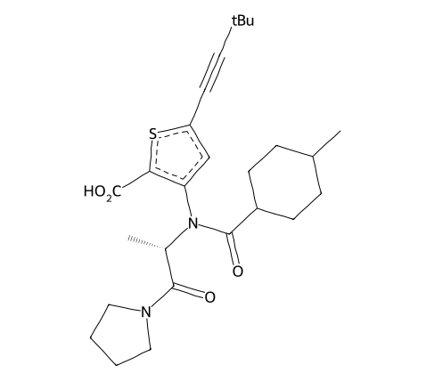 CC1CCC(C(=O)N(c2cc(C#CC(C)(C)C)sc2C(=O)O)[C@@H](C)C(=O)N2CCCC2)CC1